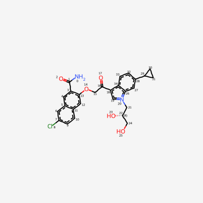 NC(=O)c1cc2cc(Cl)ccc2cc1OCC(=O)c1cn(C[C@@H](O)CO)c2cc(C3CC3)ccc12